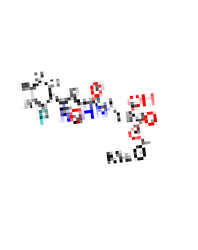 COCOC(=O)C(O)CCNC(=O)c1cc(-c2ccccc2F)no1